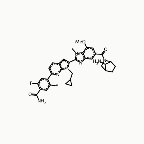 COc1cc(C(=O)N2CC3CCC2C3N)cc2nc(-c3cc4ccc(-c5cc(F)c(C(N)=O)cc5F)nc4n3CC3CC3)n(C)c12